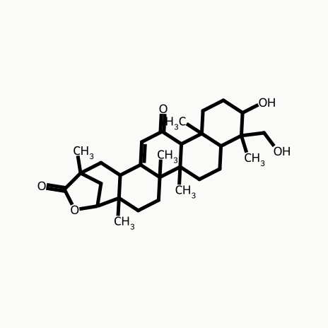 CC12CC(OC1=O)C1(C)CCC3(C)C(=CC(=O)C4C5(C)CCC(O)C(C)(CO)C5CCC43C)C1C2